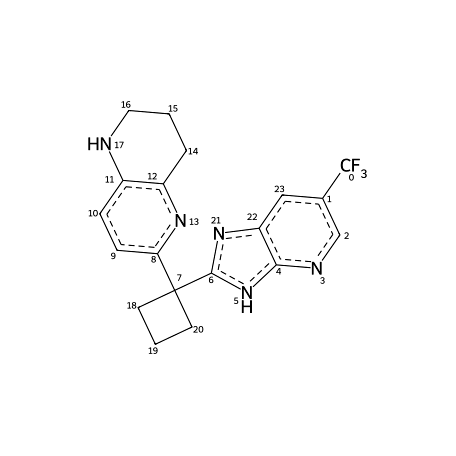 FC(F)(F)c1cnc2[nH]c(C3(c4ccc5c(n4)CCCN5)CCC3)nc2c1